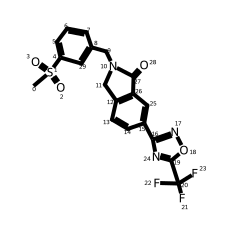 CS(=O)(=O)c1cccc(CN2Cc3ccc(-c4noc(C(F)(F)F)n4)cc3C2=O)c1